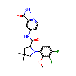 COc1c(N2CC(C)(C)CC2C(=O)Nc2ccnc(C(N)=O)c2)ccc(F)c1F